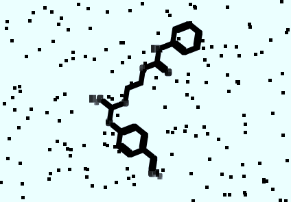 C=Cc1ccc(OC(C)OCCOC(=O)Nc2ccccc2)cc1